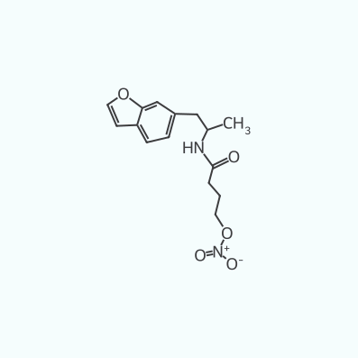 CC(Cc1ccc2ccoc2c1)NC(=O)CCCO[N+](=O)[O-]